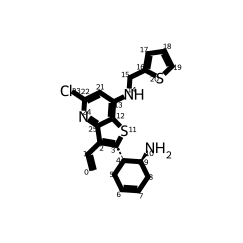 C=Cc1c([C@H]2CC=CC[C@@H]2N)sc2c(NCc3cccs3)cc(Cl)nc12